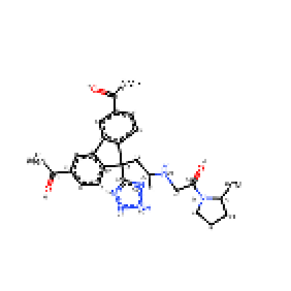 CNC(=O)c1ccc2c(c1)-c1cc(C(=O)NC)ccc1C2(C[C@H](C)NCC(=O)N1CCCC1C#N)c1nn[nH]n1